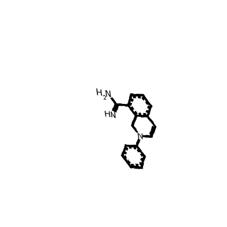 N=C(N)c1cccc2c1CN(c1ccccc1)C=C2